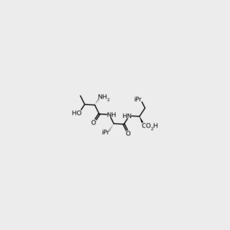 CC(C)C[C@H](NC(=O)[C@@H](NC(=O)[C@@H](N)C(C)O)C(C)C)C(=O)O